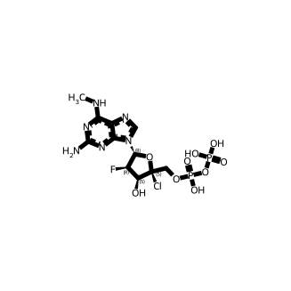 CNc1nc(N)nc2c1ncn2[C@@H]1O[C@](Cl)(COP(=O)(O)OP(=O)(O)O)[C@@H](O)[C@H]1F